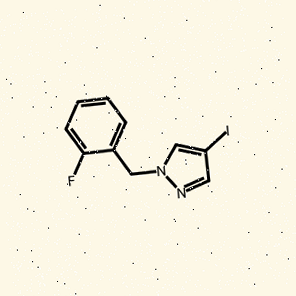 Fc1ccccc1Cn1cc(I)cn1